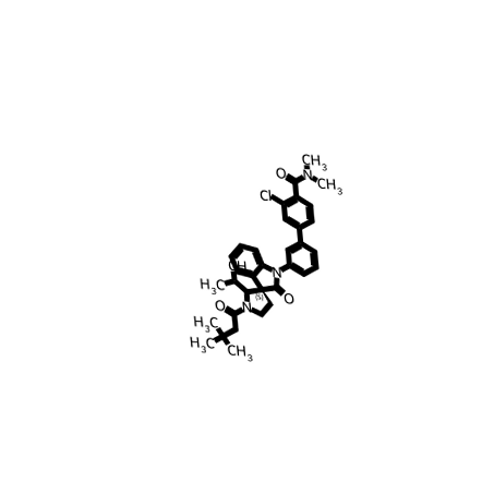 CC(C)C1N(C(=O)CC(C)(C)C)CC[C@@]12C(=O)N(c1cccc(-c3ccc(C(=O)N(C)C)c(Cl)c3)c1)c1ccccc12